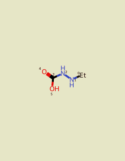 CCNNC(=O)O